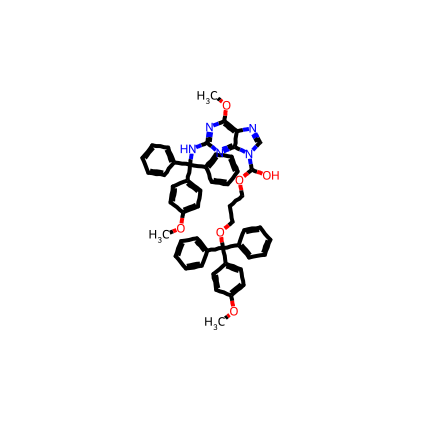 COc1ccc(C(Nc2nc(OC)c3ncn(C(O)OCCCOC(c4ccccc4)(c4ccccc4)c4ccc(OC)cc4)c3n2)(c2ccccc2)c2ccccc2)cc1